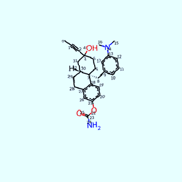 CC#CC1(O)CC[C@@]2(Cc3cccc(N(C)C)c3)c3ccc(OC(N)=O)cc3CC[C@@H]2C1